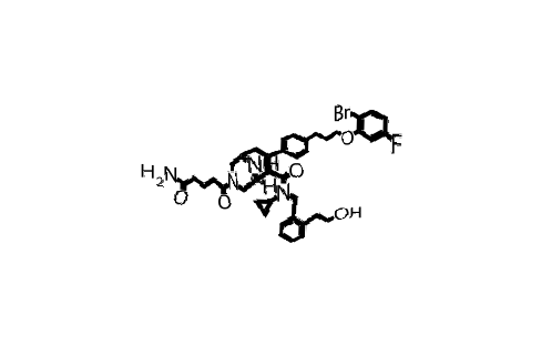 NC(=O)CCCC(=O)N1CC2CC(c3ccc(CCCOc4cc(F)ccc4Br)cc3)=C(C(=O)N(Cc3ccccc3CCO)C3CC3)[C@@H](C1)N2